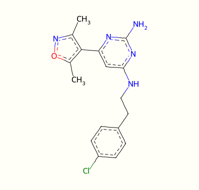 Cc1noc(C)c1-c1cc(NCCc2ccc(Cl)cc2)nc(N)n1